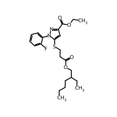 CCCCC(CC)COC(=O)CCSc1cc(C(=O)OCC)nn1-c1ccccc1F